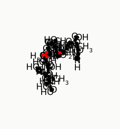 CC(C)C[C@H](NC(=O)[C@H](Cc1ccc(O)cc1)NC(=O)[C@@H](CO)NC(=O)[C@H](CO)NC(=O)[C@@H](NC(=O)[C@H](CC(=O)O)NC(=O)[C@H](CO)NC(=O)[C@@H](NC(=O)[C@H](Cc1ccccc1)NC(=O)[C@@H](NC(=O)CNC(=O)[C@H](CCC(=O)O)NC(=O)[C@H](C)NC(=O)[C@@H](N)Cc1c[nH]cn1)[C@@H](C)O)[C@@H](C)O)C(C)C)C(=O)N[C@@H](CCC(=O)O)C(=O)O